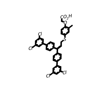 Cc1cc(SCC=C(c2ccc(-c3cc(Cl)cc(Cl)c3)cc2)c2ccc(-c3cc(Cl)cc(Cl)c3)cc2)ccc1OCC(=O)O